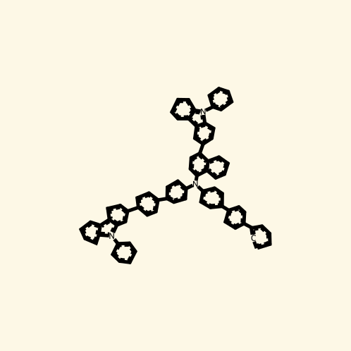 c1ccc(-c2ccc(-c3ccc(N(c4ccc(-c5ccc(-c6ccc7c8ccccc8n(-c8ccccc8)c7c6)cc5)cc4)c4ccc(-c5ccc6c(c5)c5ccccc5n6-c5ccccc5)c5ccccc45)cc3)cc2)cc1